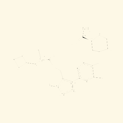 Cc1nc(-c2nnn(C)c2COC(=O)N(C)CC2CCC2)ccc1O[C@H]1CCC[C@H](C(N)=O)C1